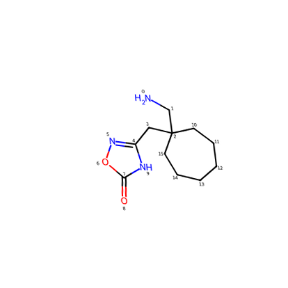 NCC1(Cc2noc(=O)[nH]2)CCCCCC1